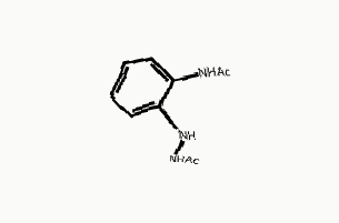 CC(=O)NNc1ccccc1NC(C)=O